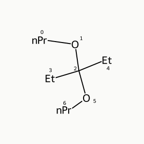 CCCOC(CC)(CC)OCCC